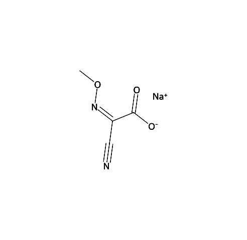 CON=C(C#N)C(=O)[O-].[Na+]